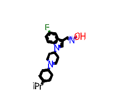 CC(C)C1CCC(N2CCC(n3cc(/C=N/O)c4cc(F)ccc43)CC2)CC1